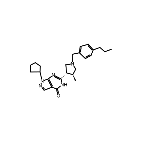 CCCc1ccc(CN2C[C@@H](C)[C@H](c3nc4c(cnn4C4CCCC4)c(=O)[nH]3)C2)cc1